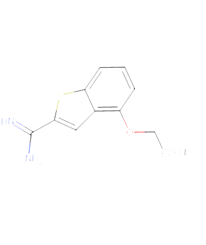 N=C(N)c1cc2c(OCC(=O)O)cccc2s1